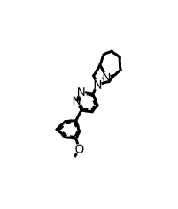 COc1cccc(-c2ccc(N3CC4CCCCC(C3)N4C)nn2)c1